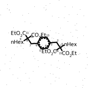 CCCCCCC(Cc1ccc(CC(CCCCCC)(C(=O)OCC)C(=O)OCC)cc1)(C(=O)OCC)C(=O)OCC